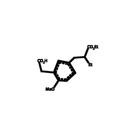 CCOC(=O)C(CC)Cc1ccc(OC)c(CC(=O)O)c1